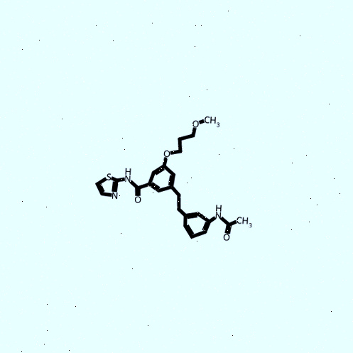 COCCCOc1cc(CCc2cccc(NC(C)=O)c2)cc(C(=O)Nc2nccs2)c1